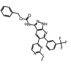 CSc1nccc(-c2cc3c(NC(=O)OCc4ccccc4)n[nH]c3nc2-c2cccc(C(F)(F)F)c2)n1